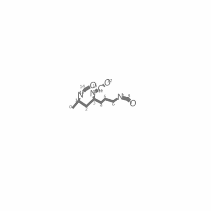 CC(CC(CCCN=C=O)N=C=O)N=C=O